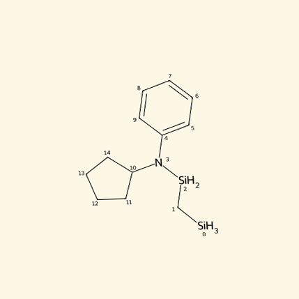 [SiH3]C[SiH2]N(c1ccccc1)C1CCCC1